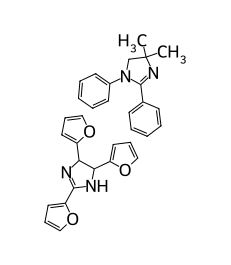 CC1(C)CN(c2ccccc2)C(c2ccccc2)=N1.c1coc(C2=NC(c3ccco3)C(c3ccco3)N2)c1